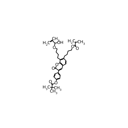 C=C(C)C(=O)OCCCCc1ccc2cc(-c3ccc(OC(=O)C(C)(C)C)cc3)c(=O)oc2c1CCCCOC(O)C(=C)C